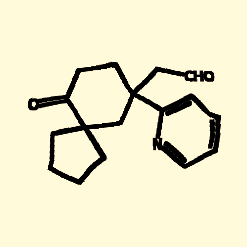 O=CCC1(c2ccccn2)CCC(=O)C2(CCCC2)C1